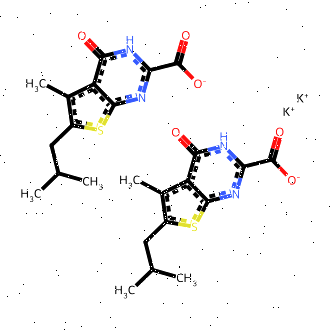 Cc1c(CC(C)C)sc2nc(C(=O)[O-])[nH]c(=O)c12.Cc1c(CC(C)C)sc2nc(C(=O)[O-])[nH]c(=O)c12.[K+].[K+]